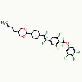 C=CCCC1COC(C2CCC(/C(F)=C(\F)c3cc(F)c(C(F)(F)Oc4cc(F)c(F)c(F)c4)c(F)c3)CC2)OC1